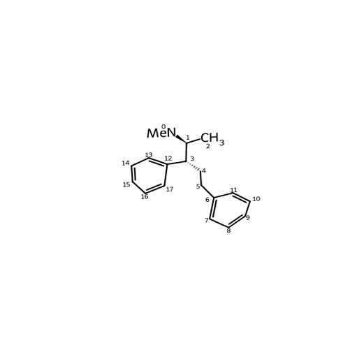 CN[C@@H](C)[C@H](CCc1ccccc1)c1ccccc1